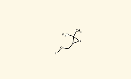 CCOCC1OC1(C)C